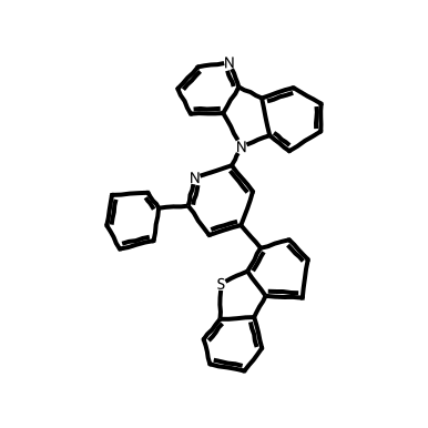 c1ccc(-c2cc(-c3cccc4c3sc3ccccc34)cc(-n3c4ccccc4c4ncccc43)n2)cc1